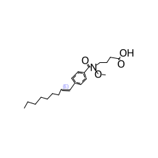 CCCCCCC/C=C/c1ccc(C(=O)N(CCCC(=O)O)OC)cc1